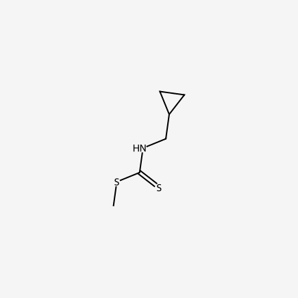 CSC(=S)NCC1CC1